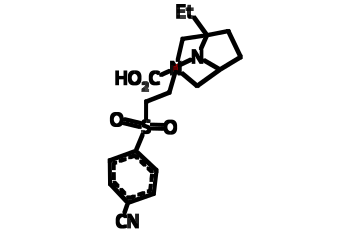 CCC12CCC(CN(C(=O)O)C1)N2CCCS(=O)(=O)c1ccc(C#N)cc1